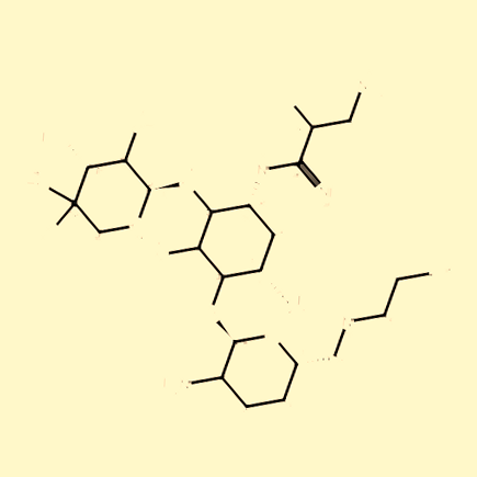 C[C@@H]1C(O)[C@@H](OC2C(O)C(O[C@H]3O[C@H](CNCCF)CCC3N)[C@@H](N)C[C@H]2NC(=N)C(O)CN)OCC1(C)O